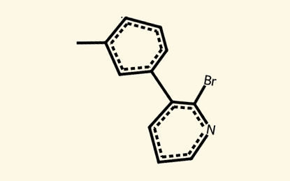 Cc1[c]ccc(-c2cccnc2Br)c1